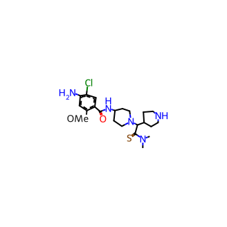 COc1cc(N)c(Cl)cc1C(=O)NC1CCN(C(C(=S)N(C)C)C2CCNCC2)CC1